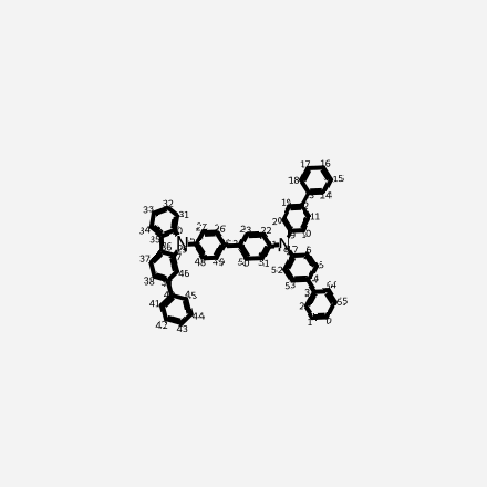 c1ccc(-c2ccc(N(c3ccc(-c4ccccc4)cc3)c3ccc(-c4ccc(-n5c6ccccc6c6ccc(-c7ccccc7)cc65)cc4)cc3)cc2)cc1